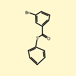 O=C(Sc1ccccc1)c1cccc(Br)c1